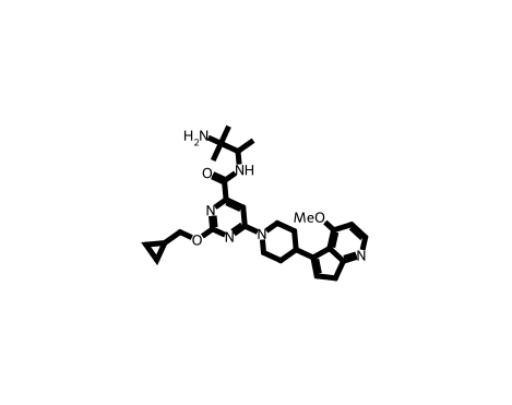 COc1ccnc2c1C(C1CCN(c3cc(C(=O)NC(C)C(C)(C)N)nc(OCC4CC4)n3)CC1)=CC2